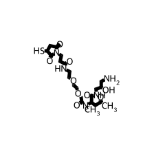 CC(=O)CC(C(=O)NCC(O)CN)N(C)C(=O)COCCOCCNC(=O)CCN1C(=O)CC(S)C1=O